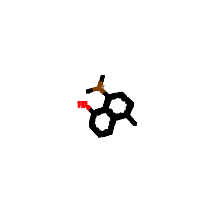 Cc1ccc([S+](C)C)c2c(O)cccc12